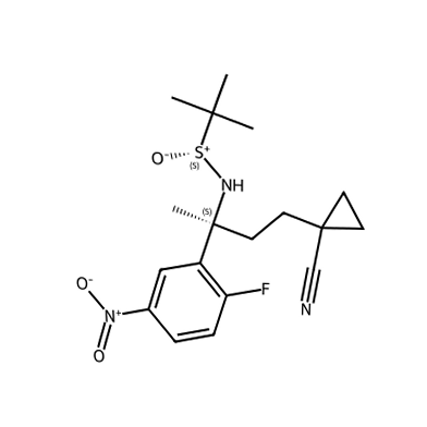 CC(C)(C)[S@@+]([O-])N[C@@](C)(CCC1(C#N)CC1)c1cc([N+](=O)[O-])ccc1F